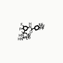 CN1C(=N)N[C@](C)(c2cc(NC(=O)c3ccc(S(F)(F)(F)(F)F)cc3)cc(F)c2F)CS1(=O)=O